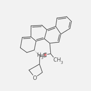 CC(C)C1C=c2ccccc2=c2ccc3c(c21)[C@H](C(=O)C1COC1)CCC=3